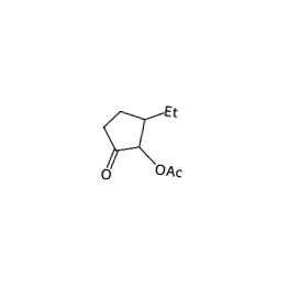 CCC1CCC(=O)C1OC(C)=O